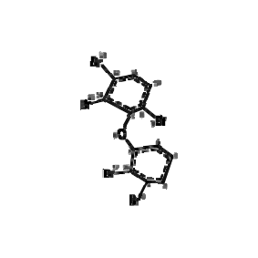 Brc1cccc(Oc2c(Br)ccc(Br)c2Br)c1Br